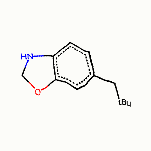 CC(C)(C)Cc1ccc2c(c1)OCN2